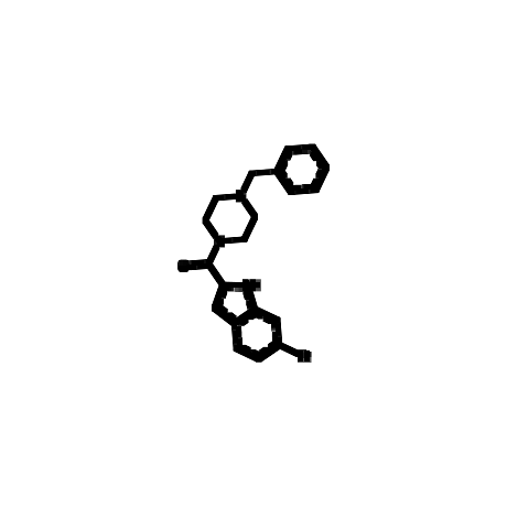 CCc1ccc2cc(C(=O)N3CCN(Cc4ccccc4)CC3)[nH]c2c1